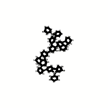 c1ccc(-n2c3ccccc3c3cc(-c4cc(-c5ccc6c(c5)-c5ccc(-c7ccccc7-c7ccc8c9ccccc9n(-c9ccccc9)c8c7)c7cccc-6c57)ccc4-c4ccc5c6c(cccc46)-c4ccccc4-5)ccc32)cc1